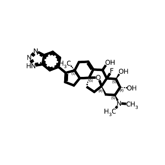 CN(C)[C@H]1C[C@@]23CC[C@@]4(O2)C(=CC[C@]2(C)C(c5ccc6nn[nH]c6c5)=CCC24)C(O)C3(F)[C@@H](O)[C@@H]1O